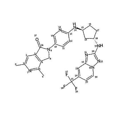 Cc1cc2c(c(C)n1)CN(c1ccc(N[C@H]3CC[C@H](Nc4nc5cc(C(F)(F)F)ccn5n4)C3)nc1)C2=O